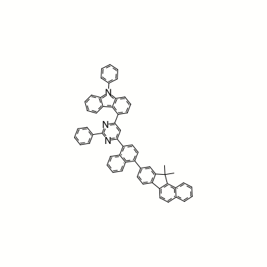 CC1(C)c2cc(-c3ccc(-c4cc(-c5cccc6c5c5ccccc5n6-c5ccccc5)nc(-c5ccccc5)n4)c4ccccc34)ccc2-c2ccc3ccccc3c21